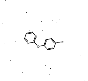 CCc1ccc(Oc2n[c]ccn2)cc1